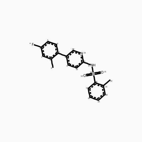 Cc1cc(F)ccc1-c1ccc(NS(=O)(=O)c2ccccc2C)nc1